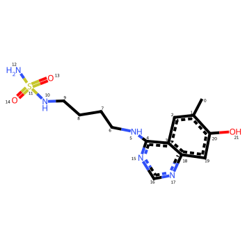 Cc1cc2c(NCCCCNS(N)(=O)=O)ncnc2cc1O